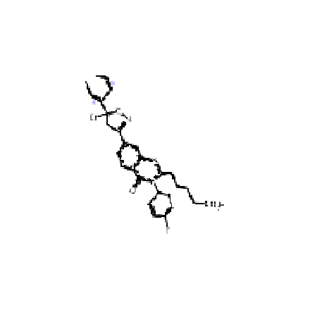 C/C=C\C(=C/C)C1(CC)CC(c2ccc3c(=O)n(C4C=CC(F)=CC4)c(CCCCC(=O)O)nc3c2)=NO1